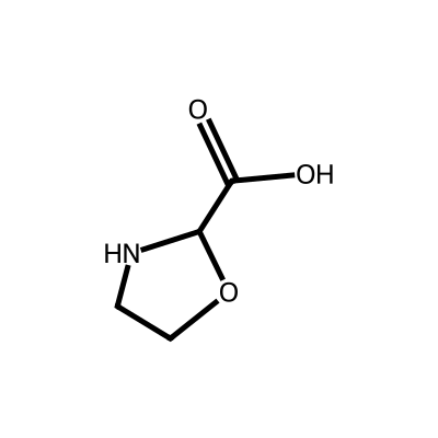 O=C(O)C1NCCO1